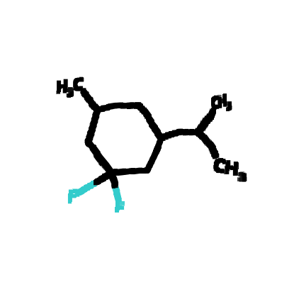 CC1CC(C(C)C)CC(F)(F)C1